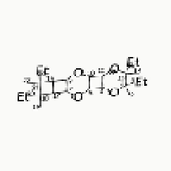 CCC1(C)OC2C3OC4C(OC3C2OC1(C)CC)C1C4C(C)(CC)C1(C)CC